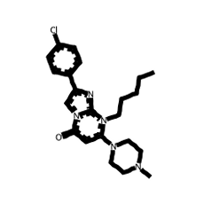 CCCCCn1c(N2CCN(C)CC2)cc(=O)n2cc(-c3ccc(Cl)cc3)nc12